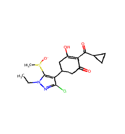 CCn1nc(Cl)c(C2CC(=O)C(C(=O)C3CC3)=C(O)C2)c1[S+](C)[O-]